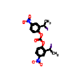 CC(I)c1cc([N+](=O)[O-])ccc1OC(=O)Oc1ccc([N+](=O)[O-])cc1C(C)I